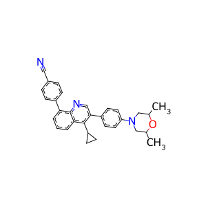 CC1CN(c2ccc(-c3cnc4c(-c5ccc(C#N)cc5)cccc4c3C3CC3)cc2)CC(C)O1